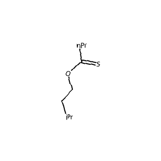 CCCC(=S)OCCC(C)C